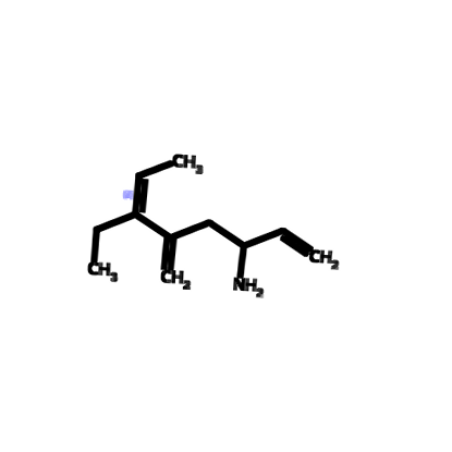 C=CC(N)CC(=C)/C(=C\C)CC